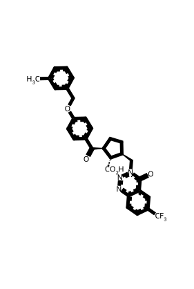 Cc1cccc(COc2ccc(C(=O)[C@H]3CC[C@@H](Cn4nnc5ccc(C(F)(F)F)cc5c4=O)[C@@H]3C(=O)O)cc2)c1